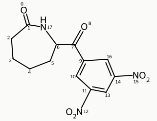 O=C1CCCCC(C(=O)c2cc([N+](=O)[O-])cc([N+](=O)[O-])c2)N1